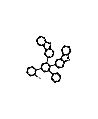 N#Cc1ccccc1-c1cc(-c2ccccc2)c(-c2ccc3oc4ccccc4c3c2)c(-c2ccc3sc4ccccc4c3c2)c1